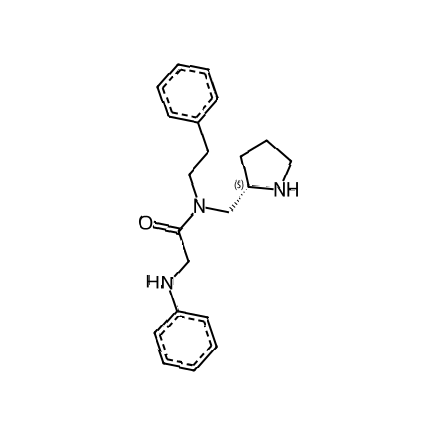 O=C(CNc1ccccc1)N(CCc1ccccc1)C[C@@H]1CCCN1